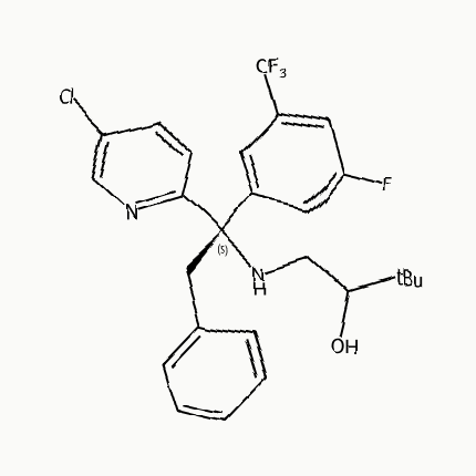 CC(C)(C)C(O)CN[C@@](Cc1ccccc1)(c1cc(F)cc(C(F)(F)F)c1)c1ccc(Cl)cn1